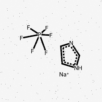 F[P-](F)(F)(F)(F)F.[Na+].c1c[nH]cn1